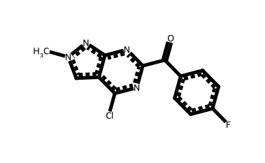 Cn1cc2c(Cl)nc(C(=O)c3ccc(F)cc3)nc2n1